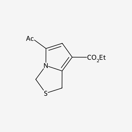 CCOC(=O)c1cc(C(C)=O)n2c1CSC2